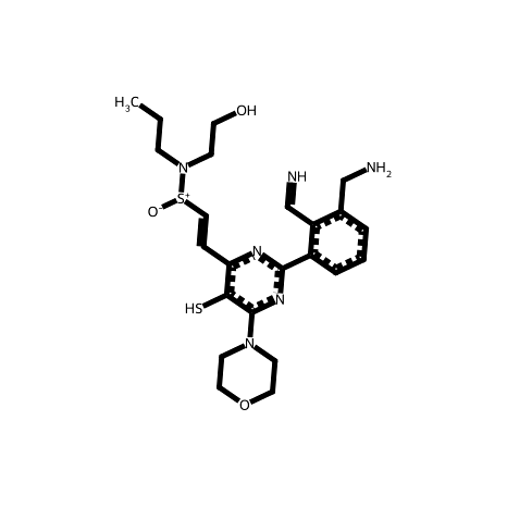 CCCN(CCO)[S+]([O-])/C=C/c1nc(-c2cccc(CN)c2C=N)nc(N2CCOCC2)c1S